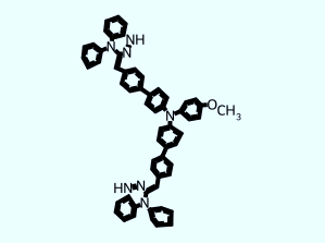 COc1ccc(N(c2ccc(-c3ccc(C=C(N=N)N(c4ccccc4)c4ccccc4)cc3)cc2)c2ccc(-c3ccc(C=C(N=N)N(c4ccccc4)c4ccccc4)cc3)cc2)cc1